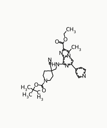 CCOC(=O)c1nc2c(NCC3(C#N)CCN(C(=O)OC(C)(C)C)CC3)nc(-c3ccncc3)cn2c1C